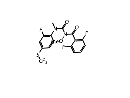 CON(C(=O)c1c(F)cccc1F)C(=O)N(C)c1ccc(SC(F)(F)F)cc1F